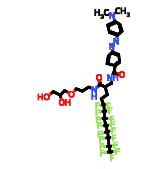 CN(C)c1ccc(N=Nc2ccc(C(=O)NCC(CCC(F)(F)C(F)(F)C(F)(F)C(F)(F)C(F)(F)C(F)(F)C(F)(F)C(F)(F)F)C(=O)NCCCOCC(O)CO)cc2)cc1